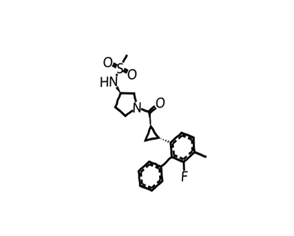 Cc1ccc([C@@H]2C[C@H]2C(=O)N2CC[C@@H](NS(C)(=O)=O)C2)c(-c2ccccc2)c1F